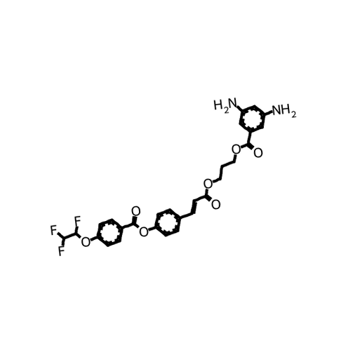 Nc1cc(N)cc(C(=O)OCCCOC(=O)C=Cc2ccc(OC(=O)c3ccc(OC(F)C(F)F)cc3)cc2)c1